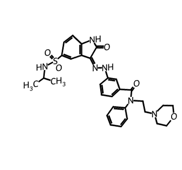 CC(C)NS(=O)(=O)c1ccc2c(c1)C(=NNc1cccc(C(=O)N(CCN3CCOCC3)c3ccccc3)c1)C(=O)N2